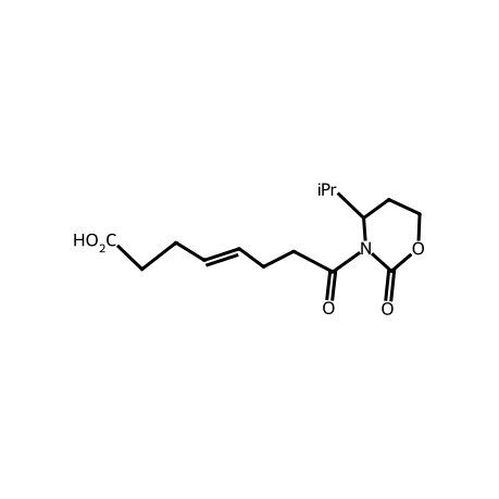 CC(C)C1CCOC(=O)N1C(=O)CCC=CCCC(=O)O